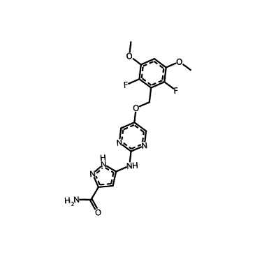 COc1cc(OC)c(F)c(COc2cnc(Nc3cc(C(N)=O)n[nH]3)nc2)c1F